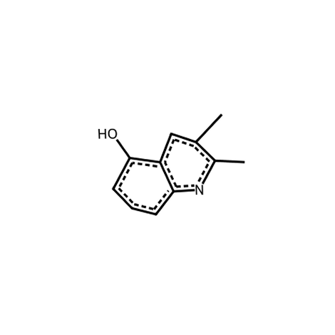 Cc1cc2c(O)cccc2nc1C